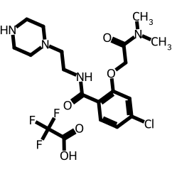 CN(C)C(=O)COc1cc(Cl)ccc1C(=O)NCCN1CCNCC1.O=C(O)C(F)(F)F